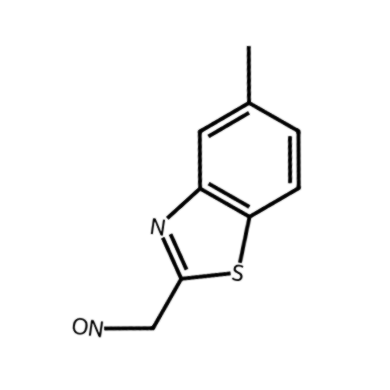 Cc1ccc2sc(CN=O)nc2c1